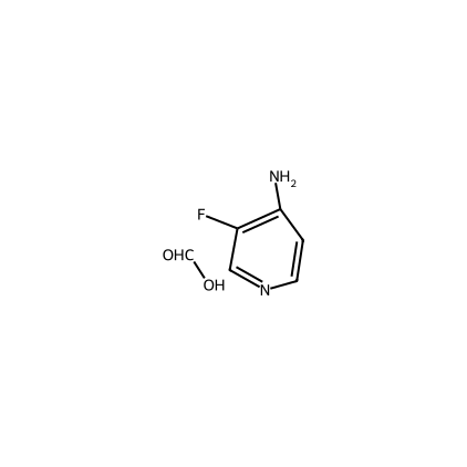 Nc1ccncc1F.O=CO